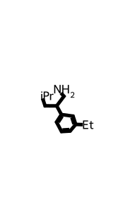 CCc1cccc(C(CN)CC(C)C)c1